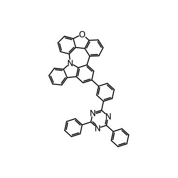 c1ccc(-c2nc(-c3ccccc3)nc(-c3cccc(-c4cc5c6cccc7oc8cccc(c8c76)n6c7ccccc7c(c4)c56)c3)n2)cc1